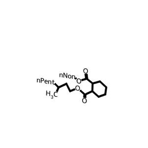 CCCCCCCCCOC(=O)C1CCCCC1C(=O)OCCC(C)CCCCC